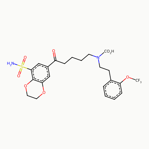 NS(=O)(=O)c1cc(C(=O)CCCCN(CCc2ccccc2OC(F)(F)F)C(=O)O)cc2c1OCCO2